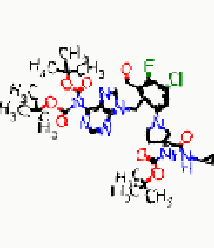 CC(C)(C)OC(=O)N[C@]1(C(=O)NC2CC2)CCN(c2cc(Cl)c(F)c(C=O)c2Cn2cnc3c(N(C(=O)OC(C)(C)C)C(=O)OC(C)(C)C)ncnc32)C1